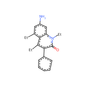 CCc1cc(N)cc2c1c(CC)c(-c1ccccc1)c(=O)n2CC